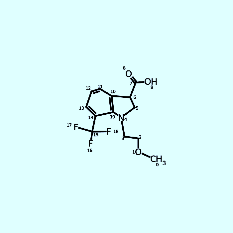 COCCN1CC(C(=O)O)c2cccc(C(F)(F)F)c21